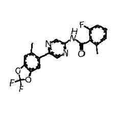 Cc1cc2c(cc1-c1cnc(NC(=O)c3c(C)cccc3F)cn1)OC(F)(F)O2